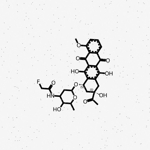 COc1cccc2c1C(=O)c1c(O)c3c(c(O)c1C2=O)C[C@@](O)(C(C)=O)C[C@@H]3OC1CC(NC(=O)CF)C(O)C(C)O1